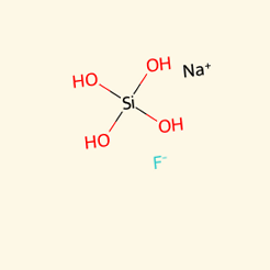 O[Si](O)(O)O.[F-].[Na+]